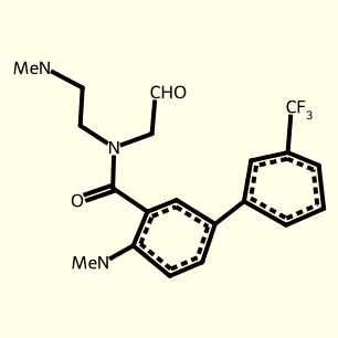 CNCCN(CC=O)C(=O)c1cc(-c2cccc(C(F)(F)F)c2)ccc1NC